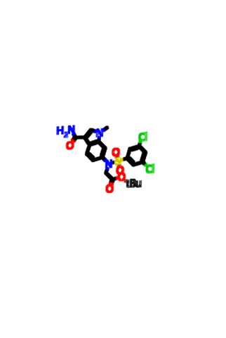 Cn1cc(C(N)=O)c2ccc(N(CC(=O)OC(C)(C)C)S(=O)(=O)c3cc(Cl)cc(Cl)c3)cc21